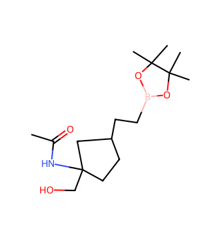 CC(=O)NC1(CO)CCC(CCB2OC(C)(C)C(C)(C)O2)C1